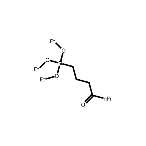 CCCC(=O)CCC[Si](OCC)(OCC)OCC